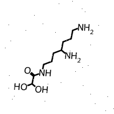 NCCCC(N)CCCNC(=O)C(O)O